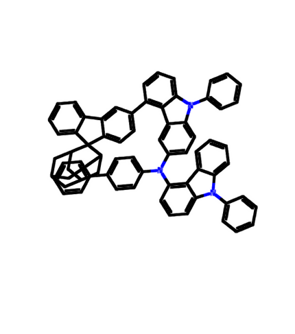 c1ccc(-c2ccc(N(c3ccc4c(c3)c3c(-c5ccc6c(c5)-c5ccccc5C65C6CC7CC(C6)CC5C7)cccc3n4-c3ccccc3)c3cccc4c3c3ccccc3n4-c3ccccc3)cc2)cc1